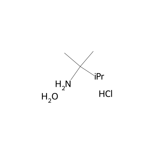 CC(C)C(C)(C)N.Cl.O